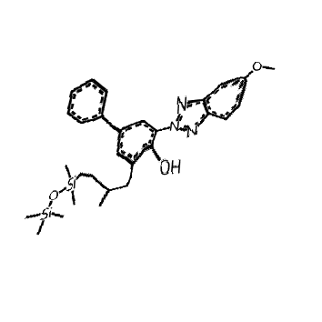 COc1ccc2nn(-c3cc(-c4ccccc4)cc(CC(C)C[Si](C)(C)O[Si](C)(C)C)c3O)nc2c1